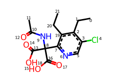 CCc1c(Cl)cnc(C(NC(C)=O)(C(=O)O)C(=O)O)c1CC